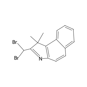 CC1(C)C(C(Br)Br)=Nc2ccc3ccccc3c21